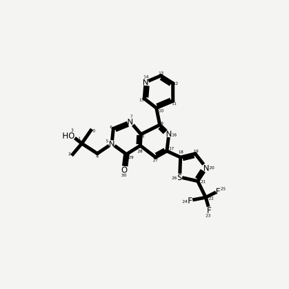 CC(C)(O)Cn1cnc2c(-c3cccnc3)nc(-c3cnc(C(F)(F)F)s3)cc2c1=O